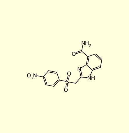 NC(=O)c1cccc2[nH]c(CS(=O)(=O)c3ccc([N+](=O)[O-])cc3)nc12